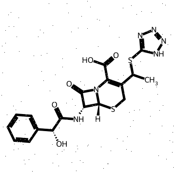 CC(Sc1nnn[nH]1)C1=C(C(=O)O)N2C(=O)[C@@H](NC(=O)[C@H](O)c3ccccc3)[C@H]2SC1